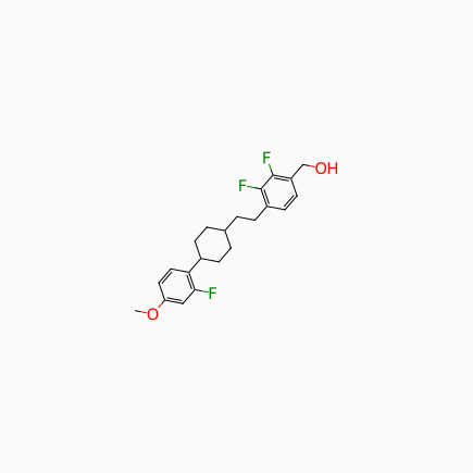 COc1ccc(C2CCC(CCc3ccc(CO)c(F)c3F)CC2)c(F)c1